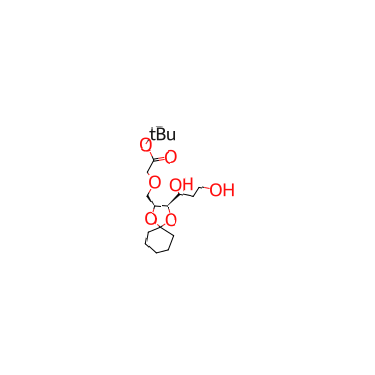 CC(C)(C)OC(=O)COC[C@@H]1OC2(CCCCC2)O[C@@H]1C(O)CCO